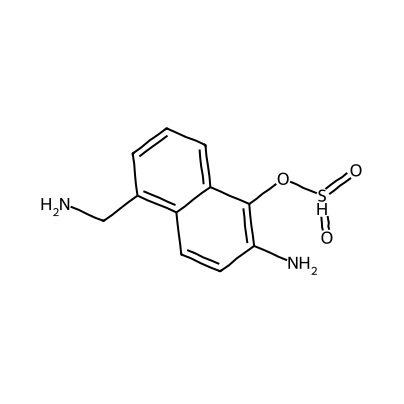 NCc1cccc2c(O[SH](=O)=O)c(N)ccc12